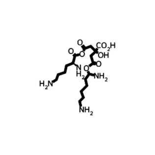 NCCCCCC(N)OC(=O)CC(O)(CC(=O)OC(=O)[C@@H](N)CCCCN)C(=O)O